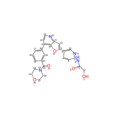 O=C(CO)Nc1ccc(-c2cc3nccc(-c4cccc(C(=O)N5CCOCC5)c4)c3o2)cn1